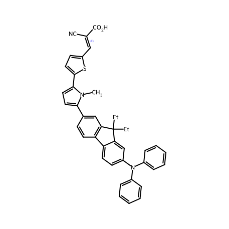 CCC1(CC)c2cc(-c3ccc(-c4ccc(/C=C(\C#N)C(=O)O)s4)n3C)ccc2-c2ccc(N(c3ccccc3)c3ccccc3)cc21